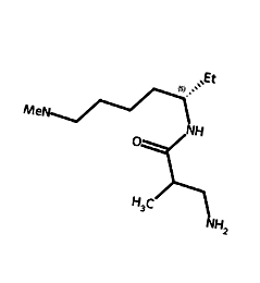 CC[C@@H](CCCCNC)NC(=O)C(C)CN